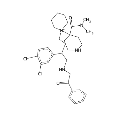 CN(C)C(=O)C1([N+]2(CCC(CNCC(=O)c3ccccc3)c3ccc(Cl)c(Cl)c3)CCCCC2)CCNCC1